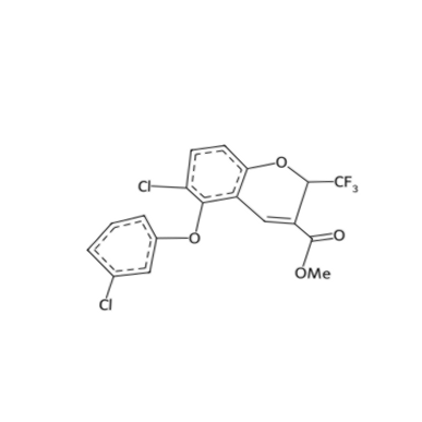 COC(=O)C1=Cc2c(ccc(Cl)c2Oc2cccc(Cl)c2)OC1C(F)(F)F